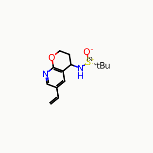 C=Cc1cnc2c(c1)C(N[S@+]([O-])C(C)(C)C)CCO2